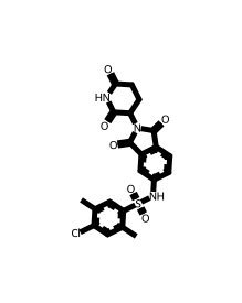 Cc1cc(S(=O)(=O)Nc2ccc3c(c2)C(=O)N(C2CCC(=O)NC2=O)C3=O)c(C)cc1Cl